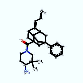 C=CC=C1C2CC3(C(=O)N4CC[C@H](N)C(C)(C)C4)CC1CC(c1ccccc1)(C2)C3